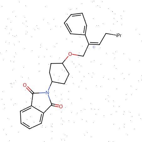 CC(C)C/C=C(/COC1CCC(N2C(=O)c3ccccc3C2=O)CC1)c1ccccc1